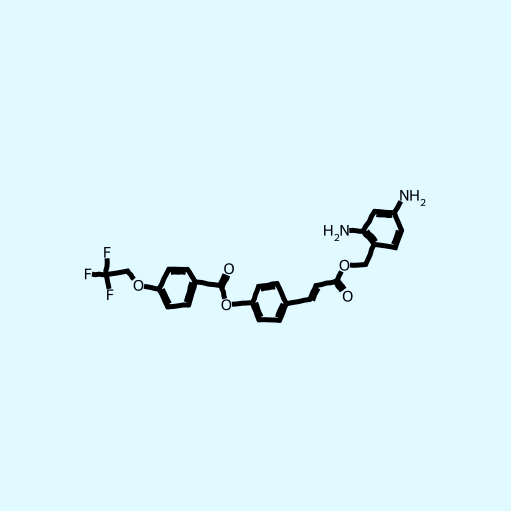 Nc1ccc(COC(=O)C=Cc2ccc(OC(=O)c3ccc(OCC(F)(F)F)cc3)cc2)c(N)c1